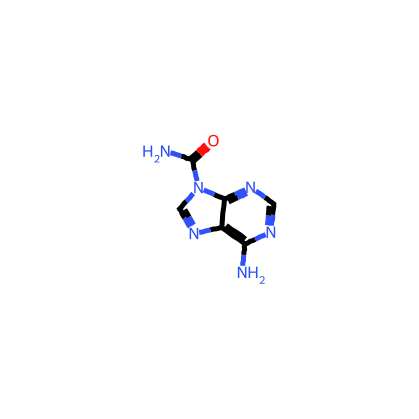 NC(=O)n1cnc2c(N)ncnc21